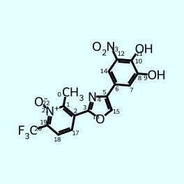 Cc1c(-c2nc(-c3cc(O)c(O)c([N+](=O)[O-])c3)co2)ccc(C(F)(F)F)[n+]1[O-]